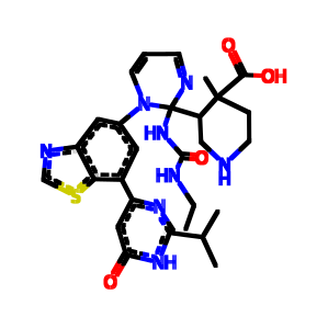 CCNC(=O)NC1(C2CNCCC2(C)C(=O)O)N=CC=CN1c1cc(-c2cc(=O)[nH]c(C(C)C)n2)c2scnc2c1